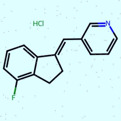 Cl.Fc1cccc2c1CCC2=Cc1cccnc1